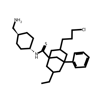 CCC1CC2(C(=S)N[C@H]3CC[C@H](CN)CC3)CC(CCCCl)CC(c3ccccc3)(C1)C2